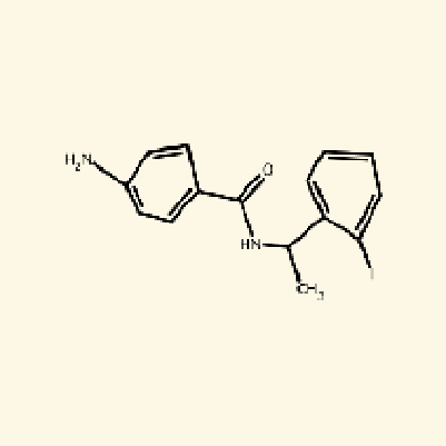 CC(NC(=O)c1ccc(N)cc1)c1ccccc1I